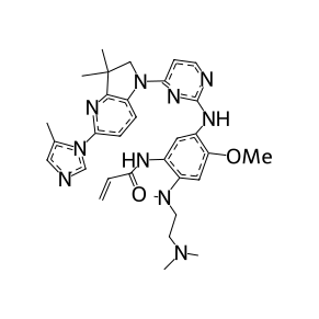 C=CC(=O)Nc1cc(Nc2nccc(N3CC(C)(C)c4nc(-n5cncc5C)ccc43)n2)c(OC)cc1N(C)CCN(C)C